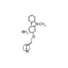 B.Cn1c2ccccc2c2ccc(OCC=C3CN4CCC3CC4)cc21